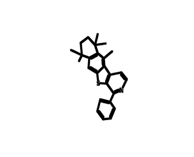 Cc1c2c(cc3sc4c(-c5ccccc5)nccc4c13)C(C)(C)CCC2(C)C